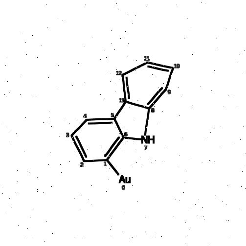 [Au][c]1cccc2c1[nH]c1ccccc12